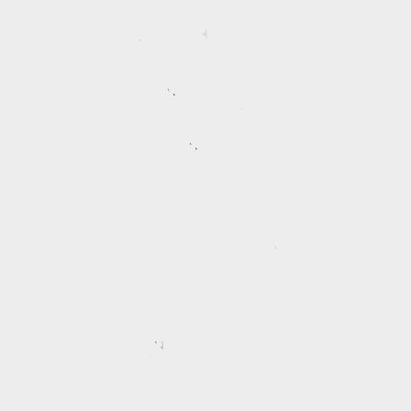 Nc1ccc(Oc2ccc3c(c2)N2C=CN(C(=O)O)C2S3)cc1